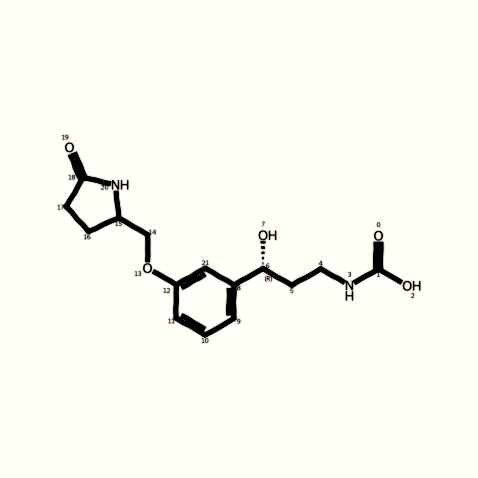 O=C(O)NCC[C@@H](O)c1cccc(OCC2CCC(=O)N2)c1